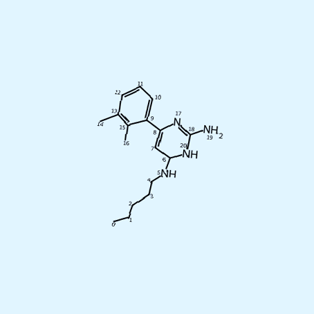 CCCCCNC1C=C(c2cccc(C)c2C)N=C(N)N1